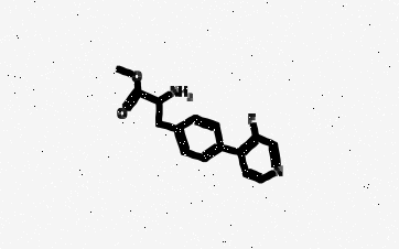 COC(=O)C(N)Cc1ccc(-c2ccncc2F)cc1